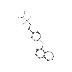 FC(F)C(F)(F)COc1ccc(Cc2nccc3ccccc23)cc1